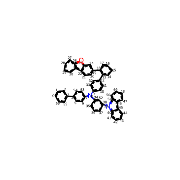 c1ccc(-c2ccc(N(c3ccc(-c4ccccc4-c4ccc5c(c4)oc4ccccc45)cc3)c3cccc(-n4c5ccccc5c5ccccc54)c3)cc2)cc1